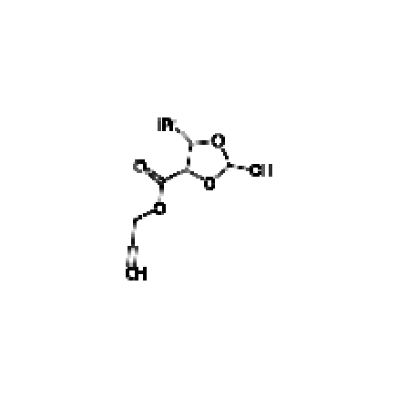 C#CCOC(=O)C1OC(O)OC1C(C)C